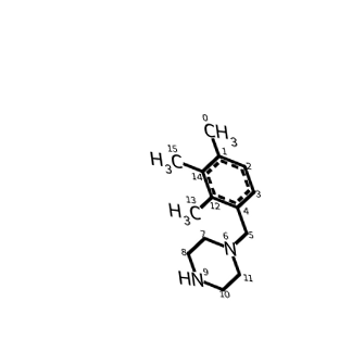 Cc1ccc(CN2CCNCC2)c(C)c1C